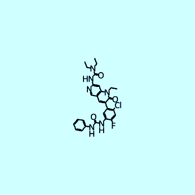 CCN(CC)C(=O)Nc1cc2c(cn1)cc(-c1cc(NC(=O)Nc3ccccc3)c(F)cc1Cl)c(=O)n2CC